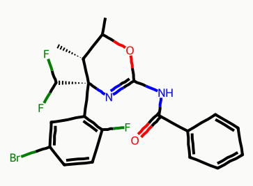 CC1OC(NC(=O)c2ccccc2)=N[C@](c2cc(Br)ccc2F)(C(F)F)[C@@H]1C